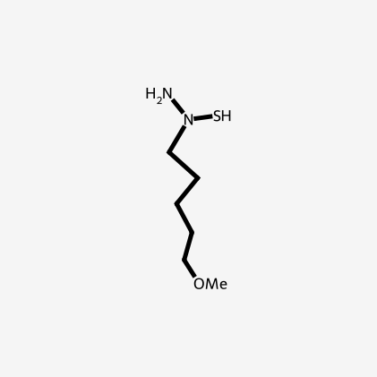 COCCCCCN(N)S